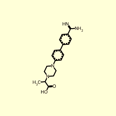 CC(C(=O)O)N1CCN(c2ccc(-c3ccc(C(=N)N)cc3)cc2)CC1